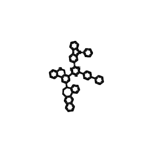 c1ccc(-c2ccc(-c3nc(-c4ccc5c6ccccc6n(-c6ccccc6)c5c4)nc(-c4cc(C5CCc6cc7ccccc7cc6-c6ccccc65)cc5c4COc4ccccc4-5)n3)cc2)cc1